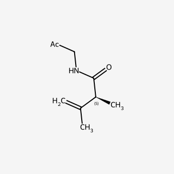 C=C(C)[C@H](C)C(=O)NCC(C)=O